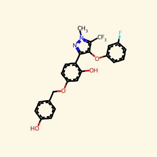 Cn1nc(-c2ccc(OCc3ccc(O)cc3)cc2O)c(Oc2cccc(F)c2)c1C(F)(F)F